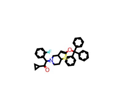 O=C(C1CC1)C(c1ccccc1F)N1CCC2SC(OC(c3ccccc3)(c3ccccc3)c3ccccc3)=CC2C1